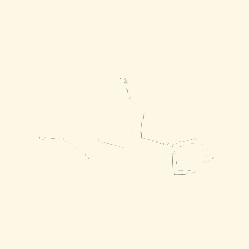 CNN=NC[C@H](CCN)n1cccc1